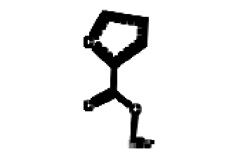 CCC[CH]OC(=O)c1ccco1